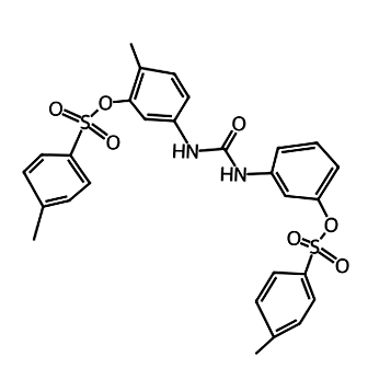 Cc1ccc(S(=O)(=O)Oc2cccc(NC(=O)Nc3ccc(C)c(OS(=O)(=O)c4ccc(C)cc4)c3)c2)cc1